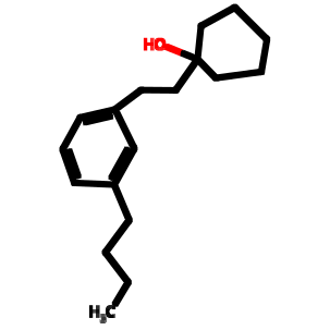 CCCCc1cccc(CCC2(O)CCCCC2)c1